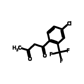 CC(=O)CC(=O)c1ccc(Cl)cc1C(F)(F)F